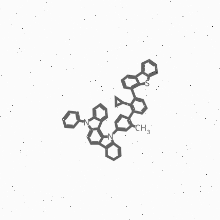 Cc1cc(-n2c3c(c4ccc5c(c6ccccc6n5-c5ccccc5)c42)CCC=C3)ccc1-c1cccc(-c2cccc3c2sc2ccccc23)c1C1CC1